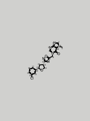 Cn1cnc2ncn(Cc3nc([C@@H]4CO[C@@H](c5cccc(Cl)c5)C4)no3)c(=O)c21